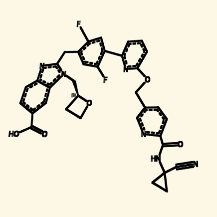 N#CC1(NC(=O)c2ccc(COc3cccc(-c4cc(F)c(Cc5nc6ccc(C(=O)O)cc6n5C[C@@H]5CCO5)cc4F)n3)cn2)CC1